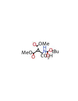 COC(=O)C1C([C@H](NC(=O)OC(C)(C)C)C(=O)O)[C@H]1C(=O)OC